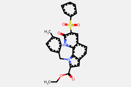 CCOC(=O)c1cc2ccc3cc(S(=O)(=O)c4ccccc4)c(=O)[nH]c3c2n1Cc1ccc(C)cc1